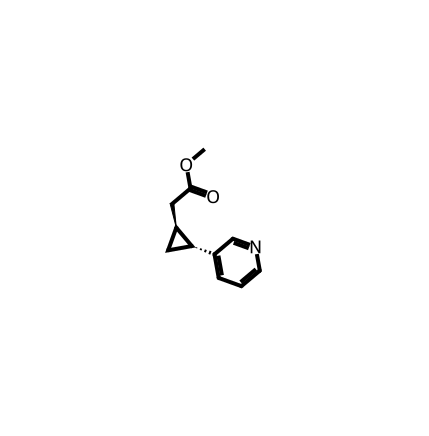 COC(=O)C[C@@H]1C[C@H]1c1cccnc1